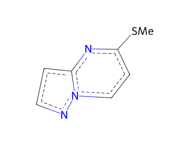 CSc1ccn2nccc2n1